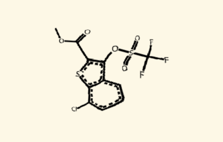 COC(=O)c1sc2c(Cl)cccc2c1OS(=O)(=O)C(F)(F)F